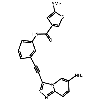 CSc1cc(C(=O)Nc2cccc(C#Cc3nnc4ccc(N)cn34)c2)cs1